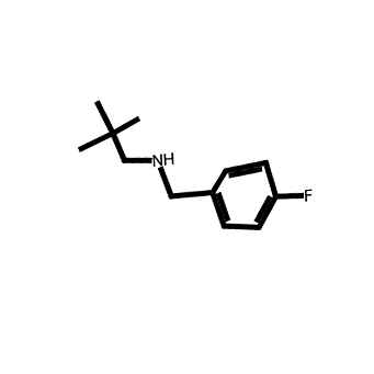 CC(C)(C)CNCc1ccc(F)cc1